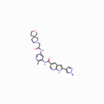 Cc1ncc(NC(=O)CN2CCC3(CCOC3)C2)cc1NC(=O)c1cnc2[nH]c(-c3cnn(C)c3)cc2c1